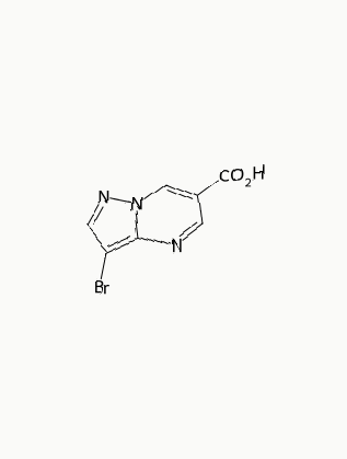 O=C(O)c1cnc2c(Br)cnn2c1